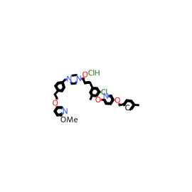 COc1ccc(OCCc2ccc(CN3CCN(C(=O)C=Cc4cc(C)c(Oc5ccc(OCc6ccc(C)cc6)cn5)c(Cl)c4)CC3)cc2)cn1.Cl